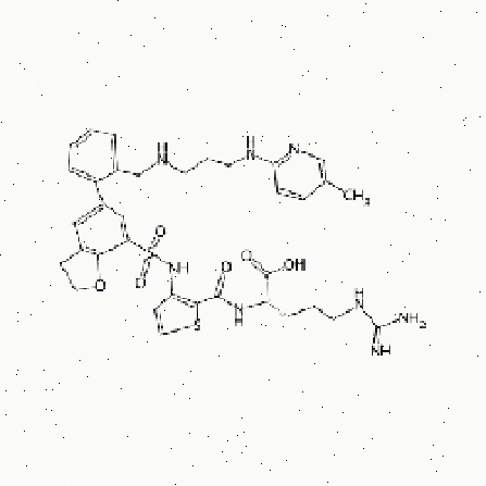 Cc1ccc(NCCCNCc2ccccc2-c2cc3c(c(S(=O)(=O)Nc4ccsc4C(=O)N[C@@H](CCCNC(=N)N)C(=O)O)c2)OCC3)nc1